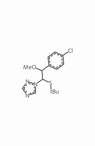 COC(c1ccc(Cl)cc1)C(SC(C)(C)C)n1cncn1